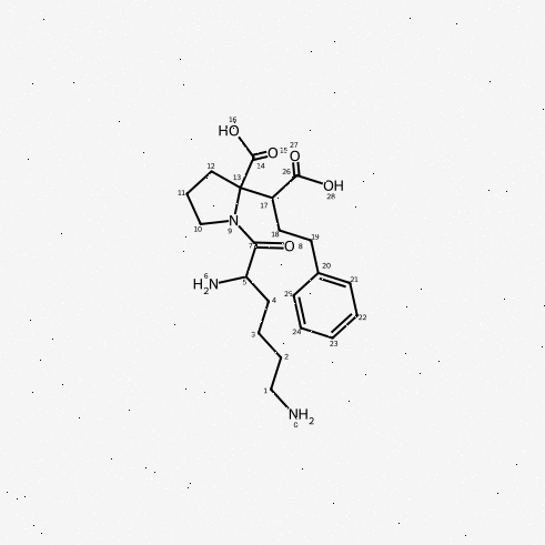 NCCCCC(N)C(=O)N1CCCC1(C(=O)O)C(CCc1ccccc1)C(=O)O